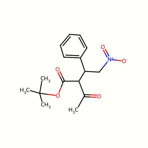 CC(=O)C(C(=O)OC(C)(C)C)C(C[N+](=O)[O-])c1ccccc1